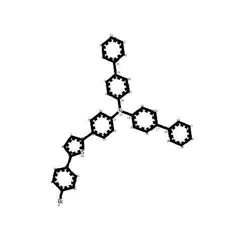 Brc1ccc(-c2ccc(-c3ccc(N(c4ccc(-c5ccccc5)cc4)c4ccc(-c5ccccc5)cc4)cc3)s2)cc1